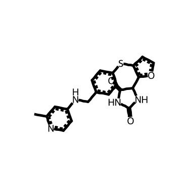 Cc1cc(NCc2ccc(Sc3ccoc3C3NC(=O)NC3=O)cc2)ccn1